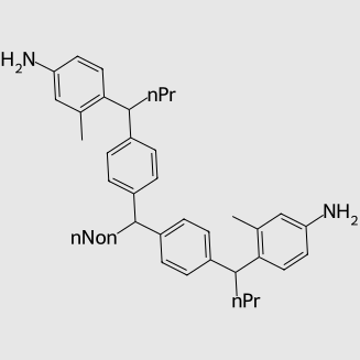 CCCCCCCCCC(c1ccc(C(CCC)c2ccc(N)cc2C)cc1)c1ccc(C(CCC)c2ccc(N)cc2C)cc1